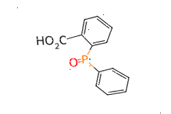 O=C(O)c1ccccc1[P](=O)c1ccccc1